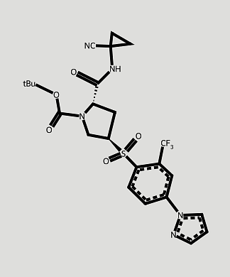 CC(C)(C)OC(=O)N1C[C@H](S(=O)(=O)c2ccc(-n3cccn3)cc2C(F)(F)F)C[C@H]1C(=O)NC1(C#N)CC1